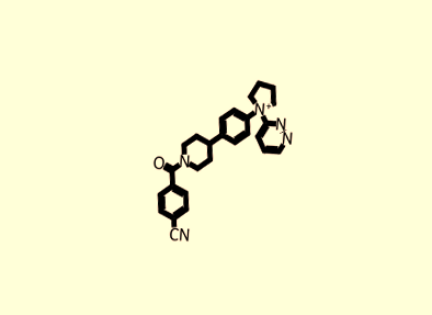 N#Cc1ccc(C(=O)N2CCC(c3ccc([N+]4(c5cccnn5)CCCC4)cc3)CC2)cc1